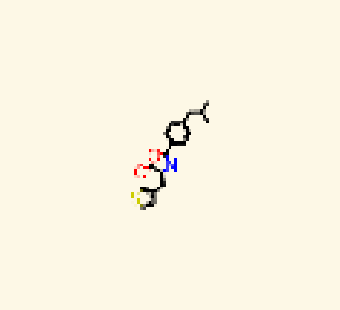 CC(C)Cc1ccc(C2=NC(=Cc3ccsc3)C(=O)O2)cc1